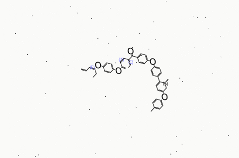 C=C/C=C(\CC)Oc1ccc(OC(=C)/C=C\C(=C/C)C(=O)c2ccc(Oc3ccc(C4=CC=C(Oc5ccc(C)cc5)C[C@@H]4C)cc3)cc2)cc1